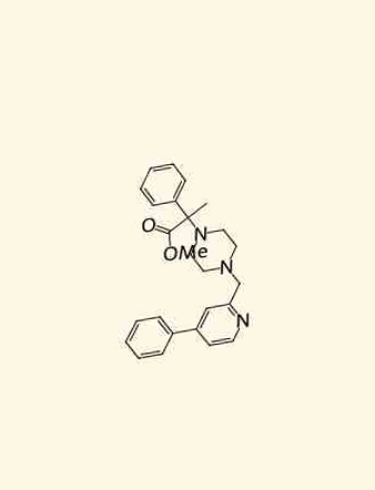 COC(=O)C(C)(c1ccccc1)N1CCN(Cc2cc(-c3ccccc3)ccn2)CC1